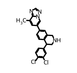 Cc1cc(-c2ccc3c(c2)CNCC3c2ccc(Cl)c(Cl)c2)cn2ncnc12